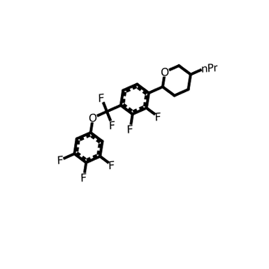 CCCC1CCC(c2ccc(C(F)(F)Oc3cc(F)c(F)c(F)c3)c(F)c2F)OC1